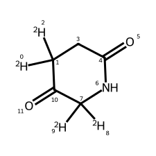 [2H]C1([2H])CC(=O)NC([2H])([2H])C1=O